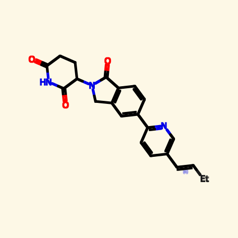 CC/C=C/c1ccc(-c2ccc3c(c2)CN(C2CCC(=O)NC2=O)C3=O)nc1